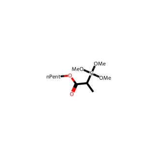 CCCCCOC(=O)C(C)[Si](OC)(OC)OC